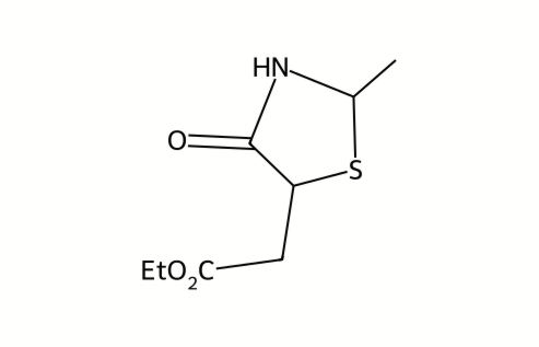 CCOC(=O)CC1SC(C)NC1=O